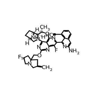 C#Cc1cccc2cc(N)nc(-c3nc4c5c(nc(OCC67CC(=C)CN6C[C@H](F)C7)nc5c3F)N3C[C@H]5CC[C@H](N5)[C@H]3[C@H](C)O4)c12